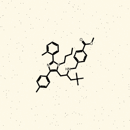 CCCCn1c(-c2ccccc2C)nc(-c2ccc(C)cc2)c1CC(CC(C)(C)C)NCc1ccc(C(=O)OC)cc1